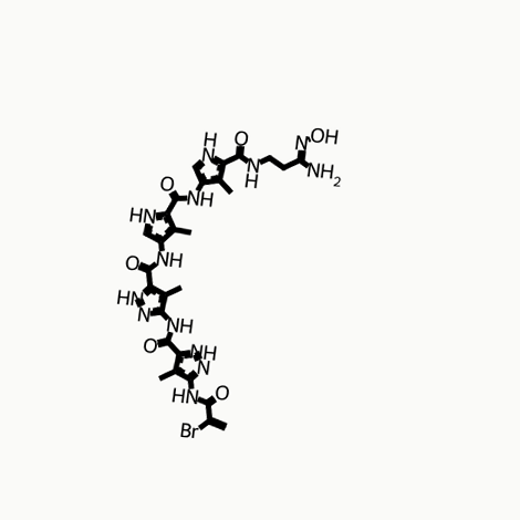 C=C(Br)C(=O)Nc1n[nH]c(C(=O)Nc2n[nH]c(C(=O)Nc3c[nH]c(C(=O)Nc4c[nH]c(C(=O)NCCC(N)=NO)c4C)c3C)c2C)c1C